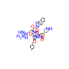 Cc1ccc(CO[C@@H]2C[C@@H](C(=O)N[C@@H](CCCNC(=N)N)C(=O)C(=O)NCc3cc4ccccc4s3)N(C(=O)[C@@H](CCC3CCNCC3)NS(C)(=O)=O)C2)cc1